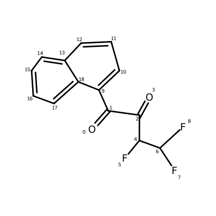 O=C(C(=O)C(F)C(F)F)c1cccc2ccccc12